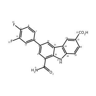 NC(=O)c1cc(-c2ccc(F)c(F)c2)cc2c1[nH]c1ccc(C(=O)O)cc12